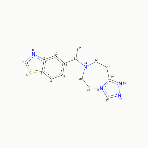 CC(c1ccc2scnc2c1)N1CCc2nncn2CC1